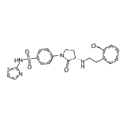 O=C1[C@@H](NCCc2ccccc2Cl)CCN1c1ccc(S(=O)(=O)Nc2nccs2)cc1